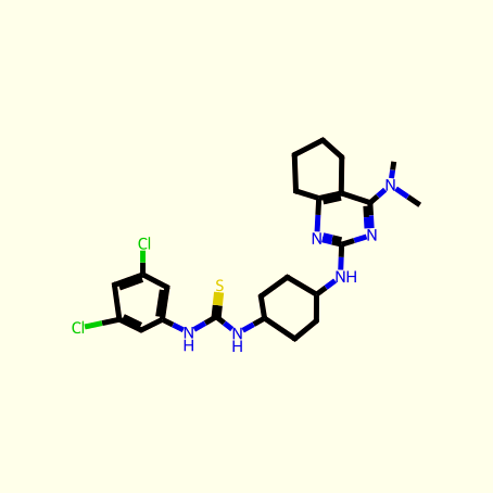 CN(C)c1nc(NC2CCC(NC(=S)Nc3cc(Cl)cc(Cl)c3)CC2)nc2c1CCCC2